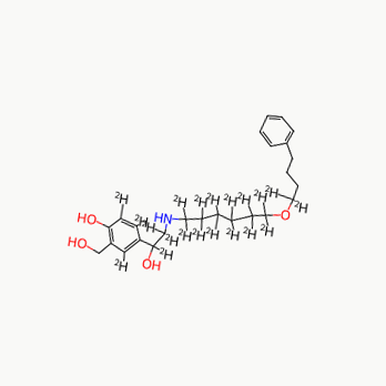 [2H]c1c([2H])c(C([2H])(O)C([2H])([2H])NC([2H])([2H])C([2H])([2H])C([2H])([2H])C([2H])([2H])C([2H])([2H])C([2H])([2H])OC([2H])([2H])CCCc2ccccc2)c([2H])c(CO)c1O